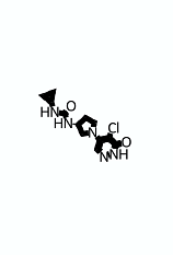 O=C(NC1CC1)N[C@@H]1CCN(c2cn[nH]c(=O)c2Cl)C1